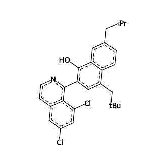 CC(C)Cc1ccc2c(CC(C)(C)C)cc(-c3nccc4cc(Cl)cc(Cl)c34)c(O)c2c1